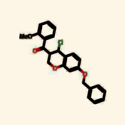 COc1ccccc1C(=O)C1COc2cc(OCc3ccccc3)ccc2C1Cl